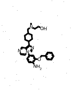 CN(CCO)CC1CCC(C2=C3C=NC=C[N+]3(c3ccc(N)c(OCc4ccccc4)c3)C=N2)CC1